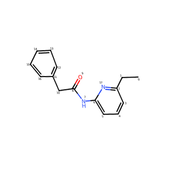 CCc1cccc(NC(=O)Cc2ccccc2)n1